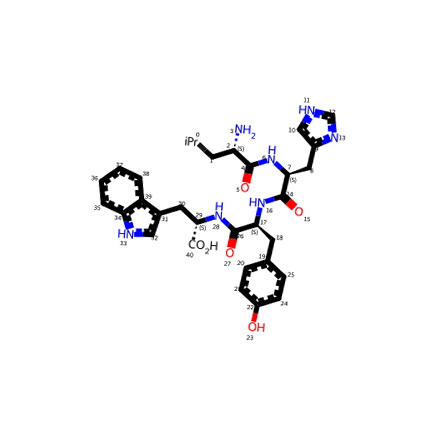 CC(C)C[C@H](N)C(=O)N[C@@H](Cc1c[nH]cn1)C(=O)N[C@@H](Cc1ccc(O)cc1)C(=O)N[C@@H](Cc1c[nH]c2ccccc12)C(=O)O